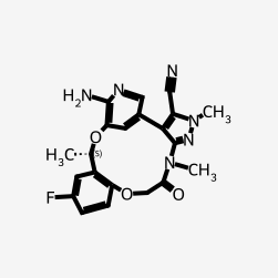 C[C@@H]1Oc2cc(cnc2N)-c2c(nn(C)c2C#N)N(C)C(=O)COc2ccc(F)cc21